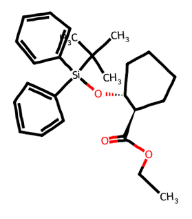 CCOC(=O)[C@@H]1CCCC[C@H]1O[Si](c1ccccc1)(c1ccccc1)C(C)(C)C